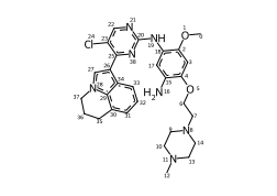 COc1cc(OCCN2CCN(C)CC2)c(N)cc1Nc1ncc(Cl)c(-c2cn3c4c(cccc24)CCC3)n1